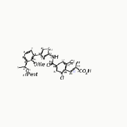 CCCCCOC(C)c1cccc(-c2csc(NC(=O)c3cc(Cl)c(/C=C(\C)C(=O)O)c(Cl)c3)n2)c1OC